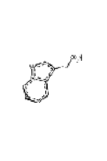 O=C(O)Cc1cnn2ccccc12